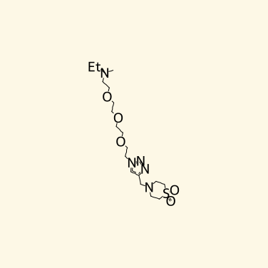 CCN(C)CCOCCOCCOCCn1cc(CN2CCS(=O)(=O)CC2)nn1